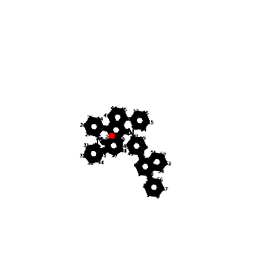 c1ccc(-c2ccc(-c3ccc(N(c4ccccc4)c4ccc(-c5ccccc5-n5c6ccccc6c6ccccc65)c5ccccc45)cc3)c3ccccc23)cc1